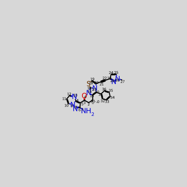 C[C@H](CC(=O)c1c(N)nn2cccnc12)c1nc2scc(C#Cc3ccn(C)n3)n2c1-c1ccccc1